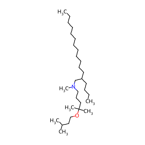 CCCCCCCCCCCCC(CCCC)CN(C)CCCC(C)(C)OCCC(C)C